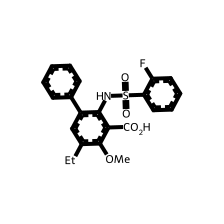 CCc1cc(-c2ccccc2)c(NS(=O)(=O)c2ccccc2F)c(C(=O)O)c1OC